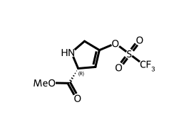 COC(=O)[C@H]1C=C(OS(=O)(=O)C(F)(F)F)CN1